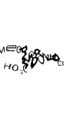 COc1cccc(CCN(CCC(=O)O)C(=O)c2ccccc2-c2ccccc2C(=O)NCc2cccc(Cl)c2)c1